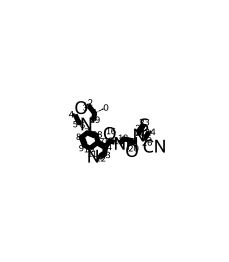 C[C@H]1COCCN(c2ccc3nccc(C(=O)NCC(=O)N4CSC[C@H]4C#N)c3c2)C1